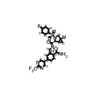 NC(=O)c1ccc(-c2cnc(C(F)(F)F)nc2)cc1CNC(=O)[C@@H]1C2C[C@H]2CN1S(=O)(=O)c1ccc(F)cc1